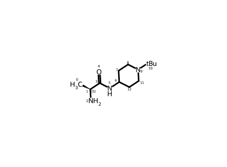 C[C@H](N)C(=O)NC1CCN(C(C)(C)C)CC1